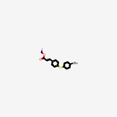 CC(C)(C)c1ccc(Sc2ccc(/C=C/C(=O)OCI)cc2)cc1